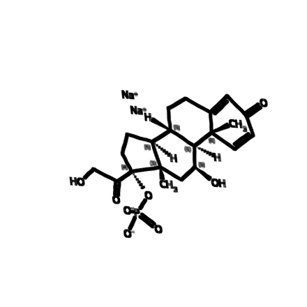 C[C@]12C=CC(=O)C=C1CC[C@@H]1[C@@H]2[C@@H](O)C[C@@]2(C)[C@H]1CC[C@]2(OP(=O)([O-])[O-])C(=O)CO.[Na+].[Na+]